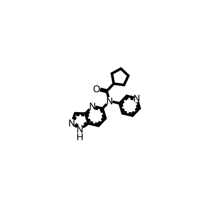 O=C(C1CCCC1)N(c1cccnc1)c1ccc2[nH]ncc2n1